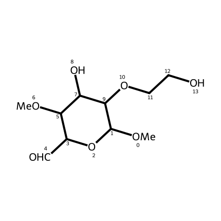 COC1OC(C=O)C(OC)C(O)C1OCCO